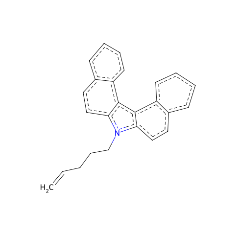 C=CCCCn1c2ccc3ccccc3c2c2c3ccccc3ccc21